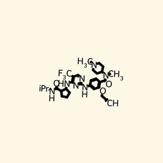 C#CCOc1cc(Nc2ncc(C(F)(F)F)c(NC3CCCC3C(=O)NC(C)C)n2)ccc1C(=O)N(C)C1CCN(C)CC1